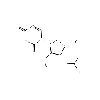 C=C1NC(=O)C=CN1[C@@H]1O[C@H](CO)[C@H](OC(C)C)C1OC